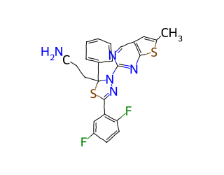 Cc1cc2cnc(N3N=C(c4cc(F)ccc4F)SC3(CCCN)c3ccccc3)nc2s1